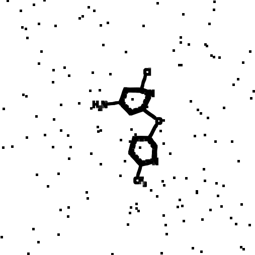 Nc1cc(Cl)nc(Oc2ccc(C(F)(F)F)nc2)c1